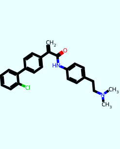 C=C(C(=O)Nc1ccc(CCN(C)C)cc1)c1ccc(-c2ccccc2Cl)cc1